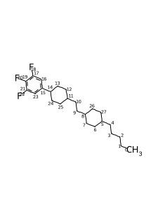 CCCCCC1CCC(CCC2CCC(c3cc(F)c(F)c(F)c3)CC2)CC1